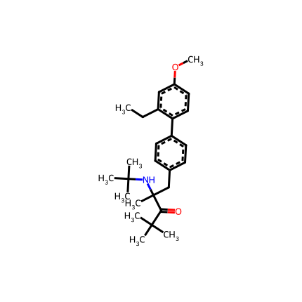 CCc1cc(OC)ccc1-c1ccc(CC(C)(NC(C)(C)C)C(=O)C(C)(C)C)cc1